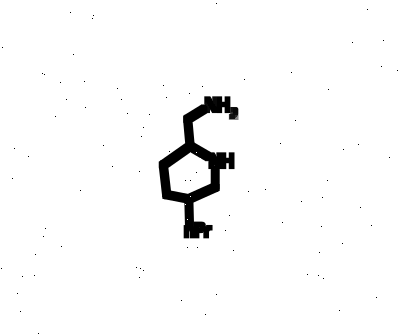 CCCC1CCC(CN)NC1